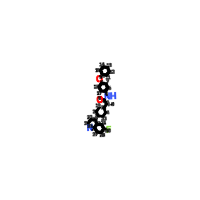 C[C@@H](C(=O)Nc1ccc(Oc2ccccc2)cc1)[C@H]1CC[C@@H](c2ccnc3ccc(F)cc32)CC1